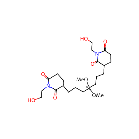 CO[Si](CCCC1CCC(=O)N(CCO)C1=O)(CCCC1CCC(=O)N(CCO)C1=O)OC